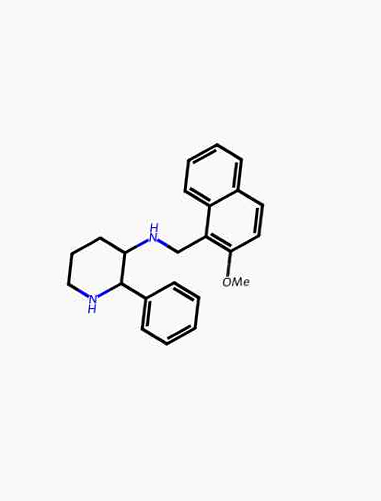 COc1ccc2ccccc2c1CNC1CCCNC1c1ccccc1